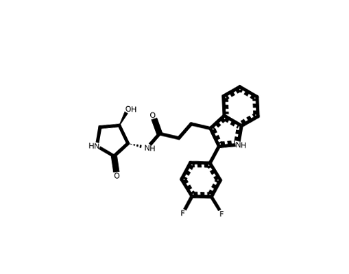 O=C(CCc1c(-c2ccc(F)c(F)c2)[nH]c2ccccc12)N[C@@H]1C(=O)NC[C@H]1O